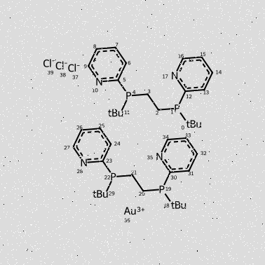 CC(C)(C)P(CCP(c1ccccn1)C(C)(C)C)c1ccccn1.CC(C)(C)P(CCP(c1ccccn1)C(C)(C)C)c1ccccn1.[Au+3].[Cl-].[Cl-].[Cl-]